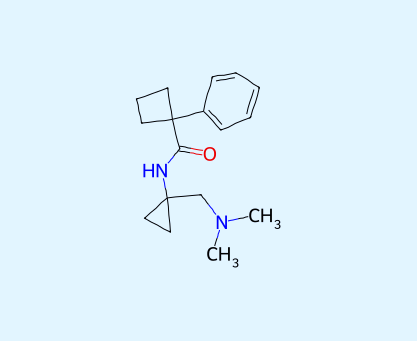 CN(C)CC1(NC(=O)C2(c3ccccc3)CCC2)CC1